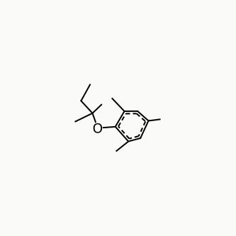 CCC(C)(C)Oc1c(C)cc(C)cc1C